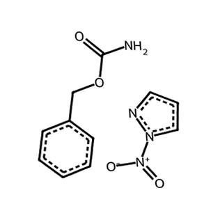 NC(=O)OCc1ccccc1.O=[N+]([O-])n1cccn1